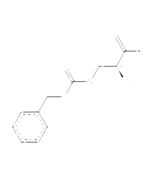 C=C(C)[C@@H](O)CNC(=O)OCc1ccccc1